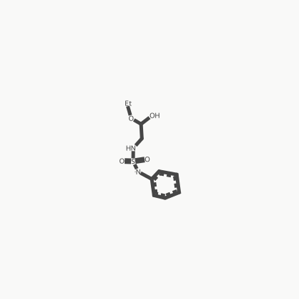 CCOC(O)CNS(=O)(=O)[N]c1ccccc1